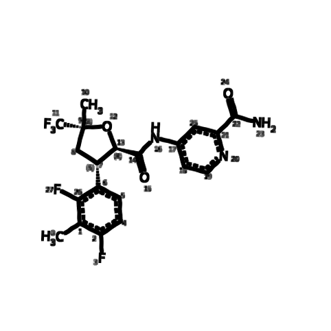 Cc1c(F)ccc([C@@H]2C[C@](C)(C(F)(F)F)O[C@H]2C(=O)Nc2ccnc(C(N)=O)c2)c1F